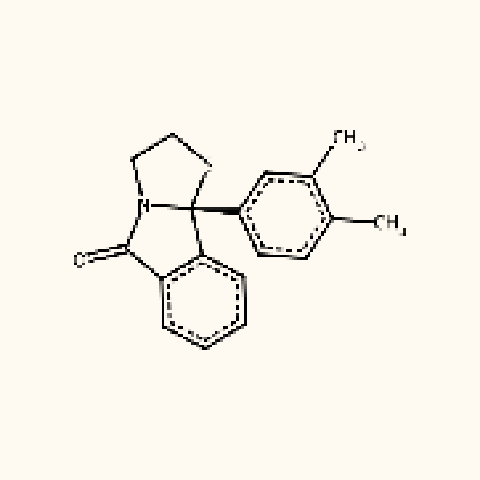 Cc1ccc([C@]23SCCN2C(=O)c2ccccc23)cc1C